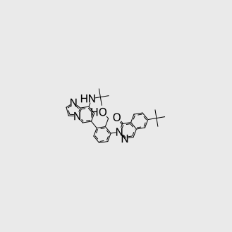 CC(C)(C)Nc1cc(-c2cccc(-n3ncc4cc(C(C)(C)C)ccc4c3=O)c2CO)cn2ccnc12